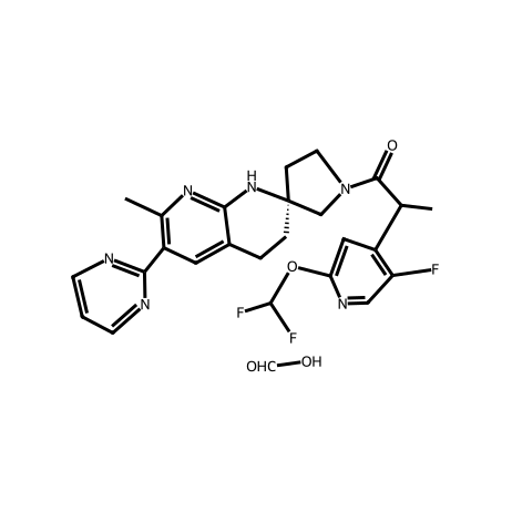 Cc1nc2c(cc1-c1ncccn1)CC[C@@]1(CCN(C(=O)C(C)c3cc(OC(F)F)ncc3F)C1)N2.O=CO